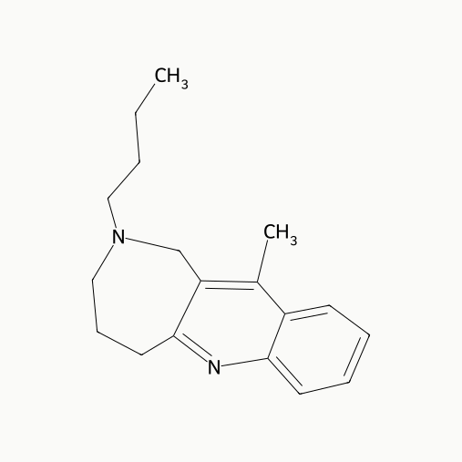 CCCCN1CCCc2nc3ccccc3c(C)c2C1